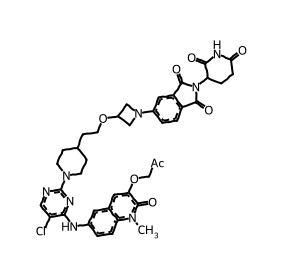 CC(=O)COc1cc2cc(Nc3nc(N4CCC(CCOC5CN(c6ccc7c(c6)C(=O)N(C6CCC(=O)NC6=O)C7=O)C5)CC4)ncc3Cl)ccc2n(C)c1=O